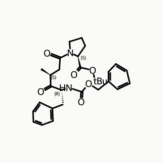 C[C@@H](CC(=O)N1CCC[C@H]1C(=O)OC(C)(C)C)C(=O)[C@@H](Cc1ccccc1)NC(=O)OCc1ccccc1